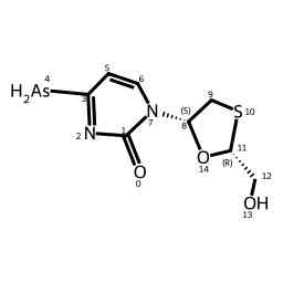 O=c1nc([AsH2])ccn1[C@@H]1CS[C@H](CO)O1